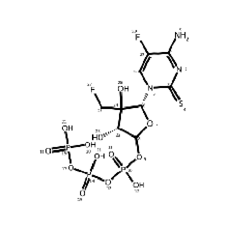 Nc1nc(=S)n([C@@H]2OC(OP(=O)(O)OP(=O)(O)OP(=O)(O)O)[C@H](O)C2(O)CF)cc1F